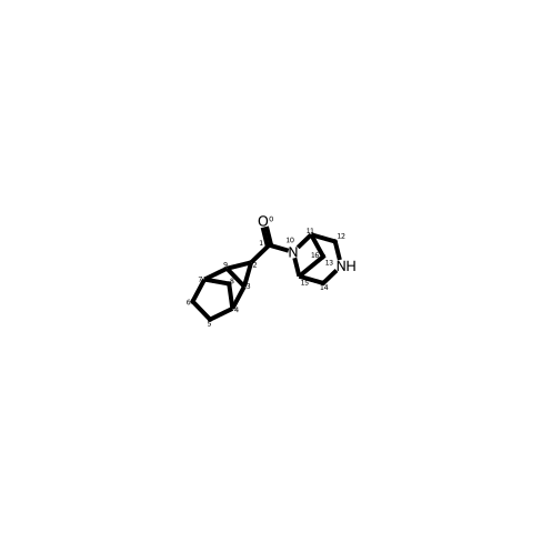 O=C(C1C2C3CCC(C3)C12)N1C2CNCC1C2